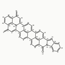 C=c1cc2c3ccc4c5ccc6c(=O)n7c8ccccc8nc7c7ccc(c8ccc(c3c48)c3cc(=C)c4cccc1c4-n23)c5c67